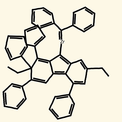 CCc1cc(-c2ccccc2)c2c(c1)=[C]([Zr]=[C](c1ccccc1)c1ccccc1)C1=C(C3=CC=CC3)C(CC)(c3ccccc3)C(c3ccccc3)=CC=21